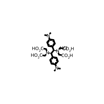 CN(C)c1ccc([C@H]([C@@H](c2ccc(N(C)C)cc2)N(CC(=O)O)CC(=O)O)N(CC(=O)O)CC(=O)O)cc1.Cl